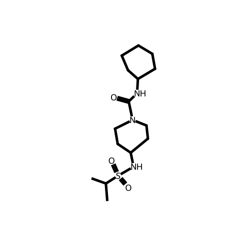 CC(C)S(=O)(=O)NC1CCN(C(=O)NC2CCCCC2)CC1